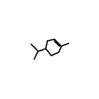 [CH]C(C)C1CC=C(C)CC1